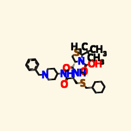 CC(C)(C)C1SC[C@@H](C(=O)N[C@@H](CSCC2CCCCC2)C(=O)NC2CCN(Cc3ccccc3)CC2)N1C(=O)O